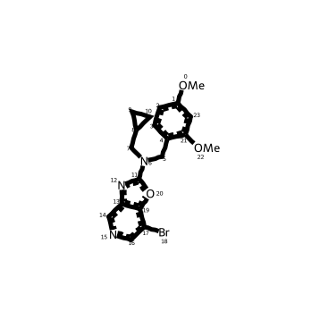 COc1ccc(CN(CC2CC2)c2nc3cncc(Br)c3o2)c(OC)c1